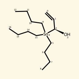 C=C[C@@H](O)[Sn]([CH2]CCC)([CH2]CCC)[CH2]CCC